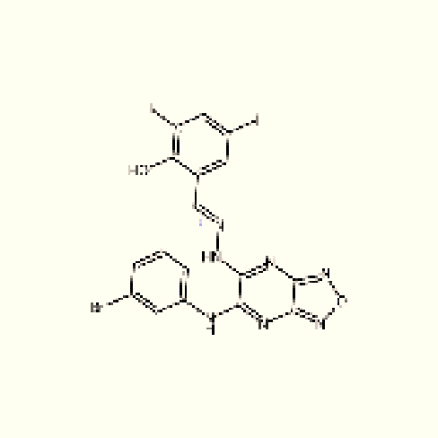 Oc1c(I)cc(I)cc1/C=N/Nc1nc2nonc2nc1Nc1cccc(Br)c1